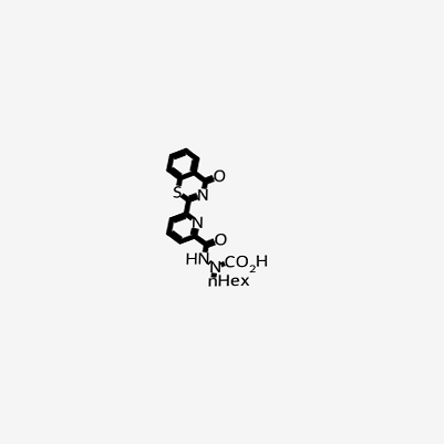 CCCCCCN(NC(=O)c1cccc(-c2nc(=O)c3ccccc3s2)n1)C(=O)O